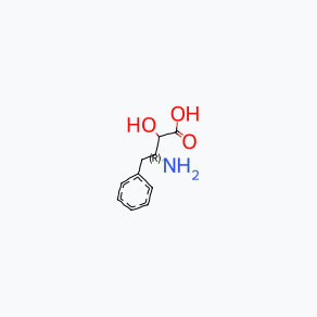 N[C@H](Cc1ccccc1)C(O)C(=O)O